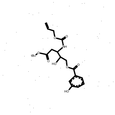 C=CCOC(=O)NC(CC(=O)OC(C)(C)C)C(O)COC(=O)c1cccc(O)c1